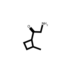 CC1CCC1C(=O)CN